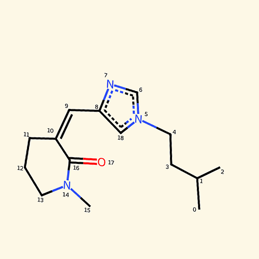 CC(C)CCn1cnc(/C=C2/CCCN(C)C2=O)c1